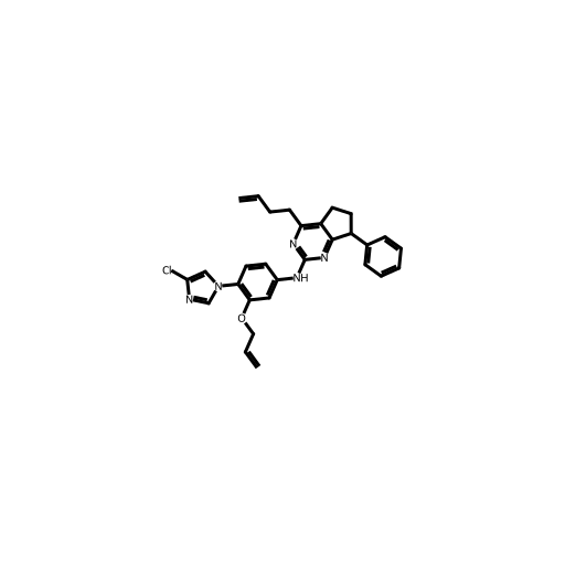 C=CCCc1nc(Nc2ccc(-n3cnc(Cl)c3)c(OCC=C)c2)nc2c1CCC2c1ccccc1